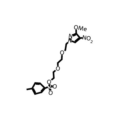 COc1nn(CCOCCOCCOS(=O)(=O)c2ccc(C)cc2)cc1[N+](=O)[O-]